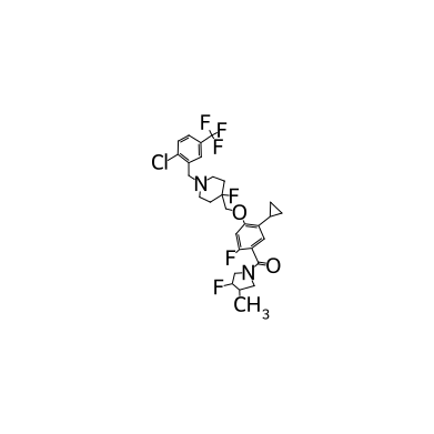 CC1CN(C(=O)c2cc(C3CC3)c(OCC3(F)CCN(Cc4cc(C(F)(F)F)ccc4Cl)CC3)cc2F)CC1F